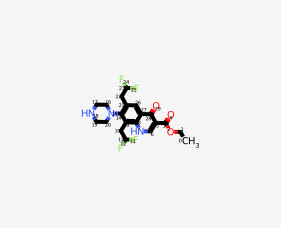 CCOC(=O)c1c[nH]c2c(CC(F)F)c(N3CCNCC3)c(CC(F)F)cc2c1=O